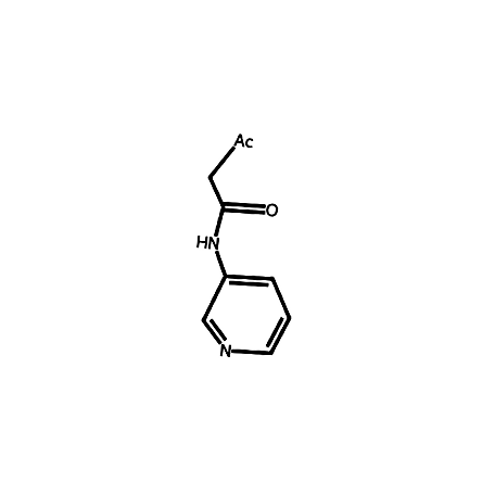 CC(=O)CC(=O)Nc1cccnc1